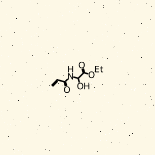 C=CC(=O)NC(O)C(=O)OCC